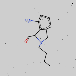 CCCCN1Cc2cccc(N)c2C1C=O